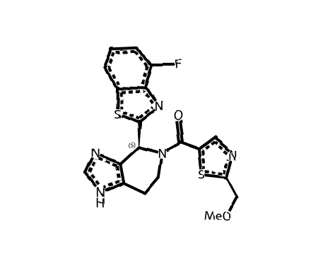 COCc1ncc(C(=O)N2CCc3[nH]cnc3[C@H]2c2nc3c(F)cccc3s2)s1